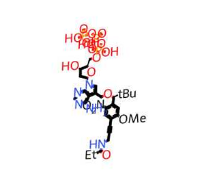 CCC(=O)NCC#Cc1cc([N+](=O)[O-])c([C@@H](OCc2cn([C@H]3C[C@@H](O)[C@@H](COP(=O)(O)OP(=O)(O)OP(=O)(O)O)O3)c3ncnc(N)c23)C(C)(C)C)cc1OC